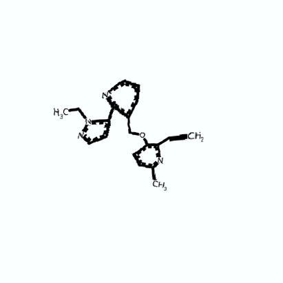 C=Cc1nc(C)ccc1OCc1cccnc1-c1ccnn1CC